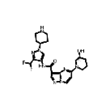 O=C(Nc1cn(C2CCNCC2)nc1C(F)F)c1cnn2ccc(N3CCC[C@H](O)C3)nc12